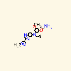 COc1cc(OCCN)cc(N(CC2CC2)c2ccc3ncc(-c4cnn(C)c4)nc3c2)c1